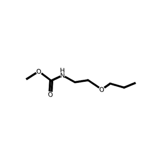 CCCOCCNC(=O)OC